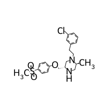 C[C@H]1CN[C@H](COc2ccc(S(C)(=O)=O)cc2)CN1CCc1cccc(Cl)c1